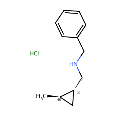 C[C@@H]1C[C@H]1CNCc1ccccc1.Cl